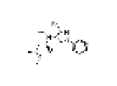 CCN(C(=O)CC(C)SC)c1cn(-c2cccnc2)nc1Br